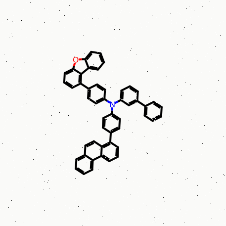 c1ccc(-c2cccc(N(c3ccc(-c4cccc5c4ccc4ccccc45)cc3)c3ccc(-c4cccc5oc6ccccc6c45)cc3)c2)cc1